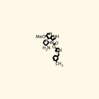 COc1cnc2[nH]cc(NC(=O)Oc3cnn(Cc4cccc(C)c4)c3)c2c1N1CCC[C@@H](N)C1